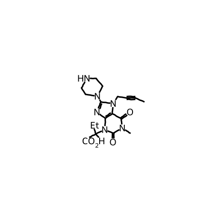 CC#CCn1c(N2CCNCC2)nc2c1c(=O)n(C)c(=O)n2C(C)(CC)C(=O)O